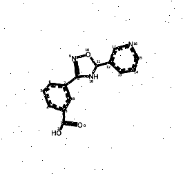 O=C(O)c1cccc(C2=NOC(c3cccnc3)N2)c1